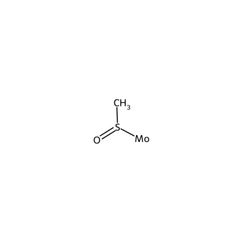 C[S](=O)[Mo]